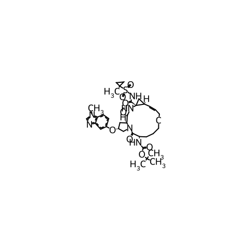 Cn1cnc2cc(O[C@@H]3C[C@H]4C(=O)N[C@]5(C(=O)NS(=O)(=O)C6(C)CC6)C[C@H]5/C=C\CCCCC[C@H](NC(=O)OC(C)(C)C)C(=O)N4C3)ccc21